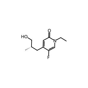 CCn1cc(F)c(C[C@H](C)CO)cc1=O